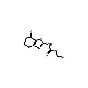 CCOC(=O)Nc1nc2c(s1)C(=O)CCC2